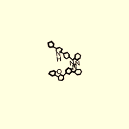 C1=Cc2c(n(-c3nc(C4=CC=C(C5=CC=C(c6ccccc6)CN5)CC4)c4c(n3)=CCCC=4)c3ccc(C4=C5Oc6ccccc6C5CC=C4)cc23)CC1